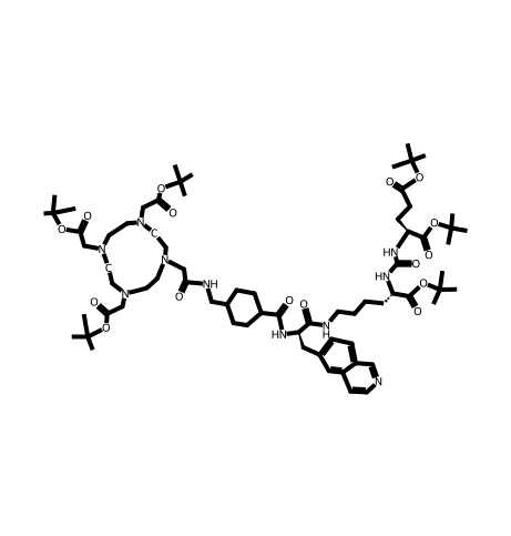 CC(C)(C)OC(=O)CC[C@H](NC(=O)N[C@@H](CCCCNC(=O)[C@@H](Cc1ccc2cnccc2c1)NC(=O)C1CCC(CNC(=O)CN2CCN(CC(=O)OC(C)(C)C)CCN(CC(=O)OC(C)(C)C)CCN(CC(=O)OC(C)(C)C)CC2)CC1)C(=O)OC(C)(C)C)C(=O)OC(C)(C)C